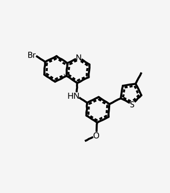 COc1cc(Nc2ccnc3cc(Br)ccc23)cc(-c2cc(C)cs2)c1